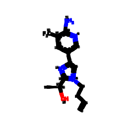 C=CCCn1cc(-c2cnc(N)c(C(F)(F)F)c2)nc1[C@H](C)O